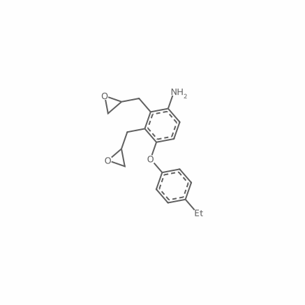 CCc1ccc(Oc2ccc(N)c(CC3CO3)c2CC2CO2)cc1